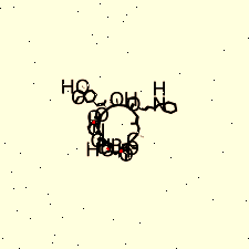 CO[C@H]1C[C@@H](C)C/C(C)=C/[C@@H](C/C=C/CNC2CCCCC2)C(=O)C[C@H](O)[C@@H](C)[C@@H](/C(C)=C/[C@@H]2CC[C@@H](O)[C@H](OC)C2)OC(=O)[C@@H]2CCCCN2C(=O)C(=O)[C@]2(O)B[C@H]1[C@@H](OC)C[C@H]2C